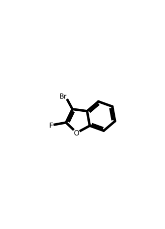 Fc1oc2ccccc2c1Br